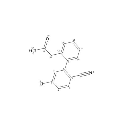 N#Cc1ccc(Cl)cc1-c1ccccc1CC(N)=O